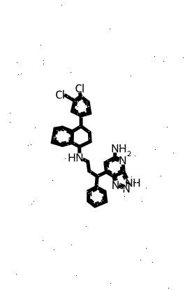 Nc1cc(C(CCNC2CCC(c3ccc(Cl)c(Cl)c3)c3ccccc32)c2ccccc2)c2nn[nH]c2n1